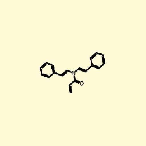 C=CC(=O)N(C=Cc1ccccc1)C=Cc1ccccc1